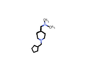 CN(C)CC1CCN(CC2CCCC2)CC1